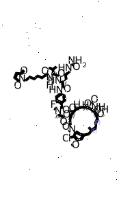 COc1cc2cc(c1Cl)N(C)C(=O)C[C@H](OC(=O)[C@H](C)N(C)C(=O)c1ccc(NC(=O)[C@H](CCCNC(N)=O)NC(=O)[C@@H](NC(=O)CCCCCN3C(=O)C=CC3=O)C(C)C)cc1F)[C@]1(C)O[C@H]1C[C@@H]1C[C@@](O)(NC(=O)O1)[C@H](OC)/C=C/C=C(\C)C2